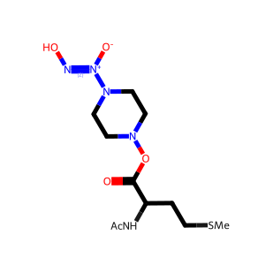 CSCCC(NC(C)=O)C(=O)ON1CCN(/[N+]([O-])=N/O)CC1